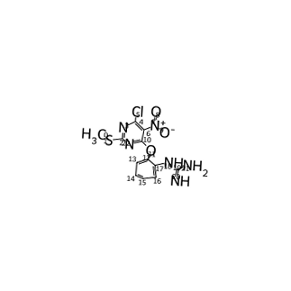 CSc1nc(Cl)c([N+](=O)[O-])c(Oc2ccccc2NC(=N)N)n1